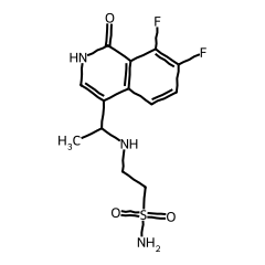 CC(NCCS(N)(=O)=O)c1c[nH]c(=O)c2c(F)c(F)ccc12